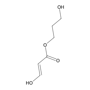 O=C(C=CO)OCCCO